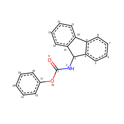 O=C(NC1c2ccccc2-c2ccccc21)Oc1ccccc1